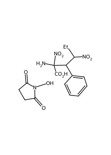 CCC(C(c1ccccc1)C(N)(C(=O)O)[N+](=O)[O-])[N+](=O)[O-].O=C1CCC(=O)N1O